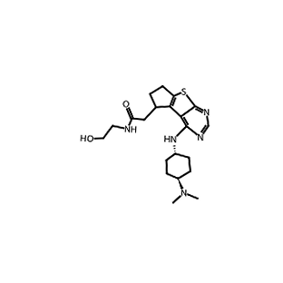 CN(C)[C@H]1CC[C@H](Nc2ncnc3sc4c(c23)C(CC(=O)NCCO)CC4)CC1